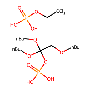 CCCCOCC(OCCCC)(OCCCC)OP(=O)(O)O.O=P(O)(O)OCC(Cl)(Cl)Cl